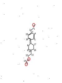 [O]CCc1ccc(C2CCC(CCOC=O)CC2)cc1